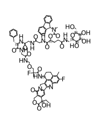 CC[C@@]1(O)C(=O)OCc2c1cc1n(c2=O)Cc2c-1nc1cc(F)c(C)c3c1c2[C@@H](NC(=O)C(C)(F)COCNC(=O)CNC(=O)[C@H](Cc1ccccc1)NC(=O)CNC(=O)CNC(=O)[C@H](CCC(=O)NC[C@@H]1O[C@H](CO)[C@@H](O)[C@H](O)[C@H]1O)OC(=O)N(C)C1c2ccccc2-c2ccccc21)CC3